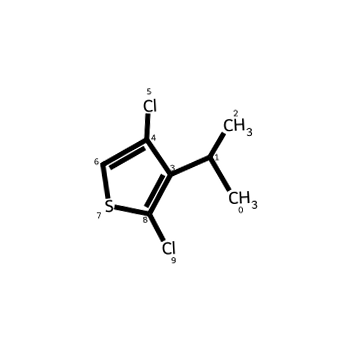 CC(C)c1c(Cl)csc1Cl